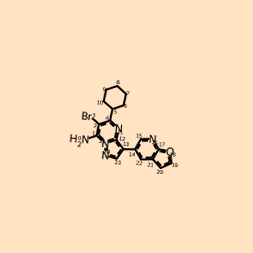 Nc1c(Br)c(C2CCCCC2)nc2c(-c3cnc4occc4c3)cnn12